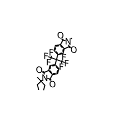 CCC(C)(CC)N1C(=O)c2ccc(C(c3ccc4c(c3)C(=O)N(C)C4=O)(C(F)(F)F)C(F)(F)F)cc2C1=O